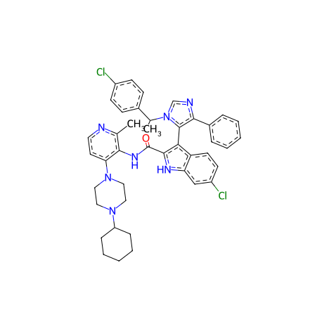 Cc1nccc(N2CCN(C3CCCCC3)CC2)c1NC(=O)c1[nH]c2cc(Cl)ccc2c1-c1c(-c2ccccc2)ncn1C(C)c1ccc(Cl)cc1